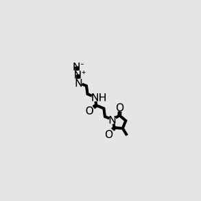 CC1CC(=O)N(CCC(=O)NCCN=[N+]=[N-])C1=O